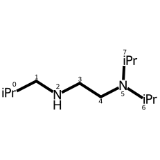 CC(C)CNCCN(C(C)C)C(C)C